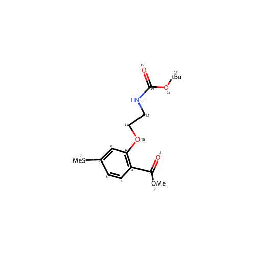 COC(=O)c1ccc(SC)cc1OCCNC(=O)OC(C)(C)C